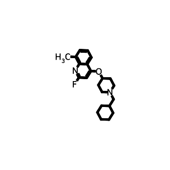 Cc1cccc2c(OC3CCN(CC4CCCCC4)CC3)cc(F)nc12